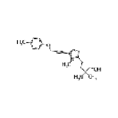 Cc1ccc(OCC#Cc2ccc(CCC(C)(N)CO)n2C)cc1